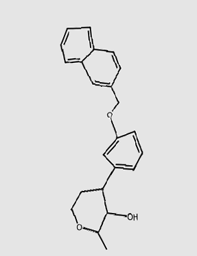 CC1OCCC(c2cccc(OCc3ccc4ccccc4c3)c2)C1O